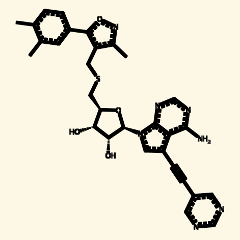 Cc1ccc(-c2onc(C)c2CSC[C@H]2O[C@@H](n3cc(C#Cc4cncnc4)c4c(N)ncnc43)[C@H](O)[C@@H]2O)cc1C